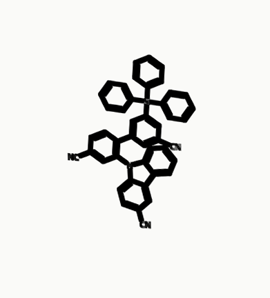 N#Cc1cc(-c2ccc(C#N)cc2-n2c3ccccc3c3cc(C#N)ccc32)cc([Si](c2ccccc2)(c2ccccc2)c2ccccc2)c1